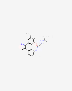 COc1ccc(-c2conc2-c2cc(OC)c(OC)c(OC)c2)cc1NC(=O)CNC(C)C(=O)O